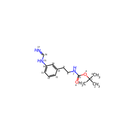 CC(C)(C)OC(=O)NCCc1cccc(NC=N)c1